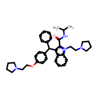 CC(C)NC(=O)c1c(C(c2ccccc2)c2ccc(OCCN3CCCC3)cc2)c2ccccc2n1CCN1CCCC1